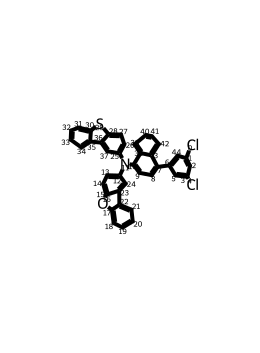 Clc1cc(Cl)cc(-c2ccc(N(c3ccc4oc5ccccc5c4c3)c3ccc4sc5ccccc5c4c3)c3ccccc23)c1